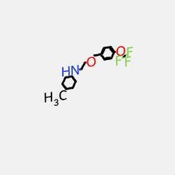 CC1CCC(NCCOCc2ccc(OC(F)(F)F)cc2)CC1